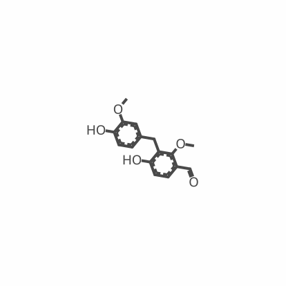 COc1cc(Cc2c(O)ccc(C=O)c2OC)ccc1O